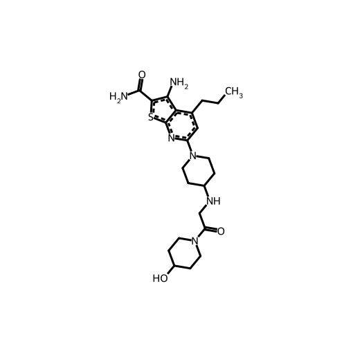 CCCc1cc(N2CCC(NCC(=O)N3CCC(O)CC3)CC2)nc2sc(C(N)=O)c(N)c12